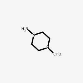 NN1CCN(C=O)CC1